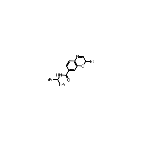 CCCC(CCC)NC(=O)c1ccc2c(c1)OC(CC)C=N2